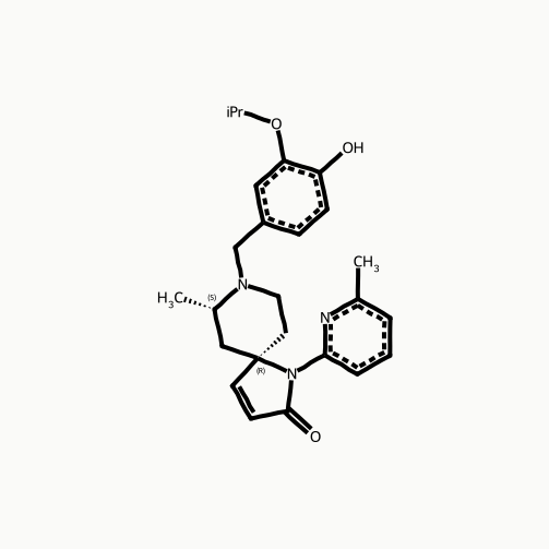 Cc1cccc(N2C(=O)C=C[C@]23CCN(Cc2ccc(O)c(OC(C)C)c2)[C@@H](C)C3)n1